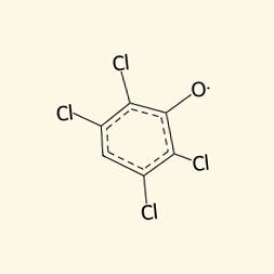 [O]c1c(Cl)c(Cl)cc(Cl)c1Cl